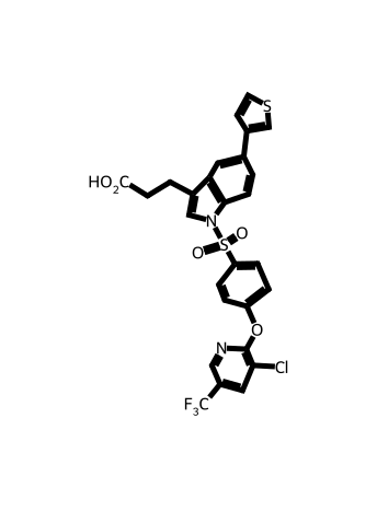 O=C(O)CCc1cn(S(=O)(=O)c2ccc(Oc3ncc(C(F)(F)F)cc3Cl)cc2)c2ccc(-c3ccsc3)cc12